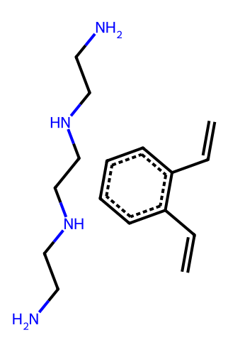 C=Cc1ccccc1C=C.NCCNCCNCCN